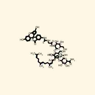 CC(=O)N[C@H]1C(O)[C@H](O[C@@H]2OC(CO)[C@H](O)C(O)[C@@H]2NC(=O)CNC(=S)Nc2ccc3c(c2)C(=O)OC32c3ccc(O)cc3Oc3cc(O)ccc32)C(CO)O[C@H]1OC1[C@@H](O)[C@@H](O)C(C(N)=O)O[C@H]1P(=O)(O)OC[C@@H](OC/C=C(/C)CC/C=C(\C)CCC=C(C)C)C(=O)O